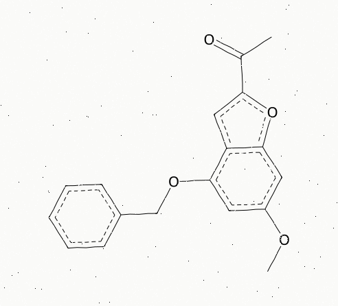 COc1cc(OCc2ccccc2)c2cc(C(C)=O)oc2c1